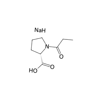 CCC(=O)N1CCC[C@H]1C(=O)O.[NaH]